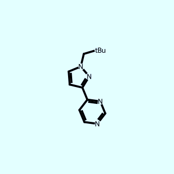 CC(C)(C)Cn1ccc(-c2ccncn2)n1